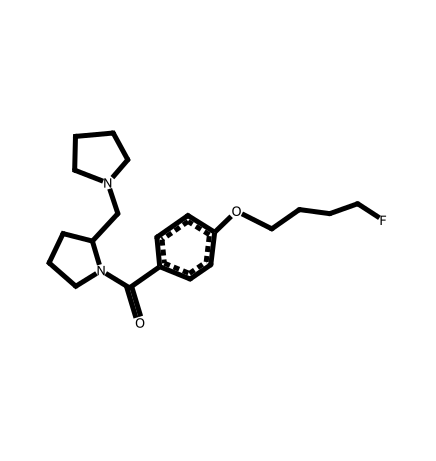 O=C(c1ccc(OCCCCF)cc1)N1CCCC1CN1CCCC1